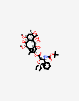 CC[Si](CC)(CC)O[C@@H](C(=O)O[C@H]1C[C@@]2(O)[C@@H](O)[C@@H]3[C@]4(O)CO[C@@H]4C[C@H](OC)[C@@]3(C)C(=O)[C@H](OC)C(=C1C)C2(C)C)[C@@H](NC(=O)OC(C)(C)C)c1ccccc1